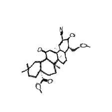 COC[C@@H]1C(=O)C(C#N)=C[C@]2(C)C3=CC(=O)C4C5CC(C)(C)CC[C@]5(C(=O)OC)CC[C@@]4(C)[C@]3(C)CCC12